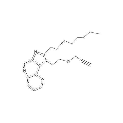 C#CCOCCn1c(CCCCCCCC)nc2cnc3ccccc3c21